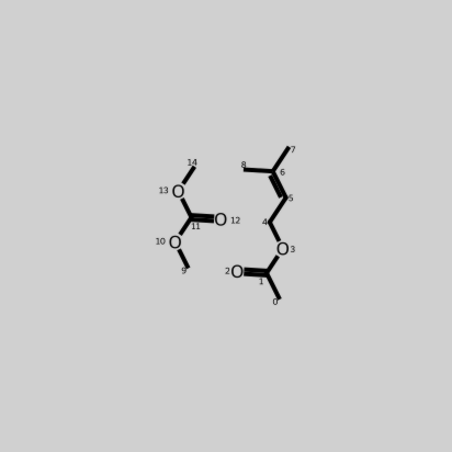 CC(=O)OCC=C(C)C.COC(=O)OC